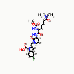 COC(=O)NC(CCC=CC(=O)N(C)C)C(=O)Nc1cccn(Cc2cc3cc(F)ccc3n2C(=O)O)c1=O